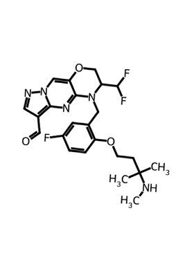 CNC(C)(C)CCOc1ccc(F)cc1CN1c2nc3c(C=O)cnn3cc2OCC1C(F)F